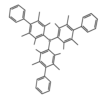 Cc1c(C)c(-c2ccccc2)c(C)c(C)c1B(c1c(C)c(C)c(-c2ccccc2)c(C)c1C)c1c(C)c(C)c(-c2ccccc2)c(C)c1C